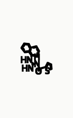 N=C(NC(=O)c1cccs1)Nc1cccc2ccccc12